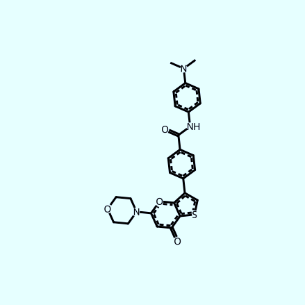 CN(C)c1ccc(NC(=O)c2ccc(-c3csc4c(=O)cc(N5CCOCC5)oc34)cc2)cc1